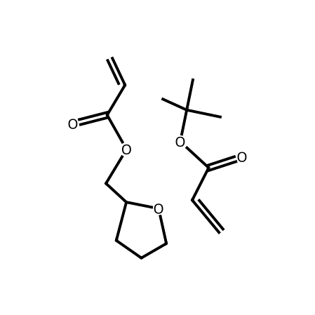 C=CC(=O)OC(C)(C)C.C=CC(=O)OCC1CCCO1